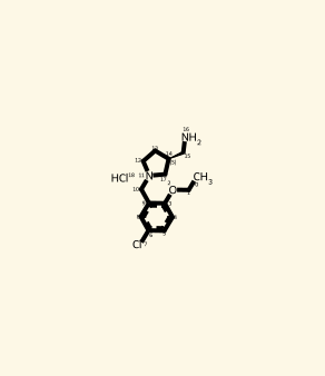 CCOc1ccc(Cl)cc1CN1CC[C@@H](CN)C1.Cl